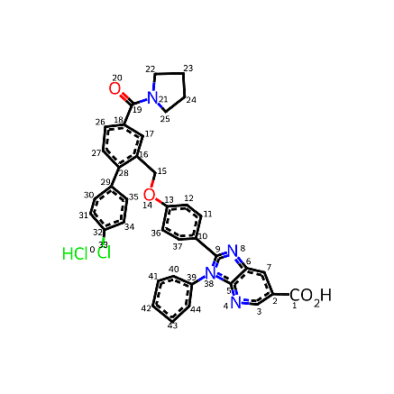 Cl.O=C(O)c1cnc2c(c1)nc(-c1ccc(OCc3cc(C(=O)N4CCCC4)ccc3-c3ccc(Cl)cc3)cc1)n2-c1ccccc1